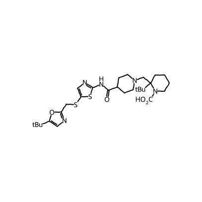 CC(C)(C)c1cnc(CSc2cnc(NC(=O)C3CCN(CC4(C(C)(C)C)CCCCN4C(=O)O)CC3)s2)o1